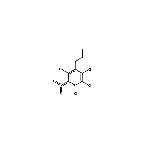 CCCc1c(Cl)c(Cl)n(Cl)c(=S(=O)=O)c1Cl